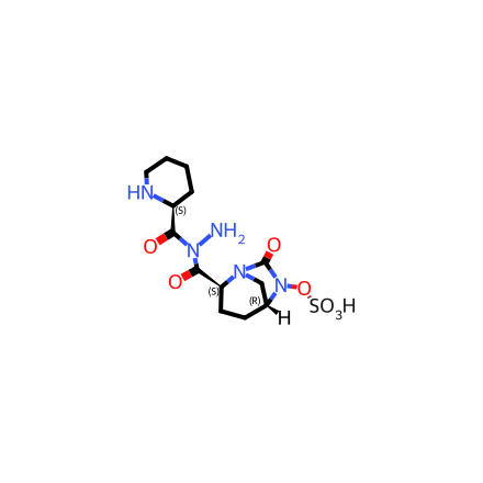 NN(C(=O)[C@@H]1CCCCN1)C(=O)[C@@H]1CC[C@@H]2CN1C(=O)N2OS(=O)(=O)O